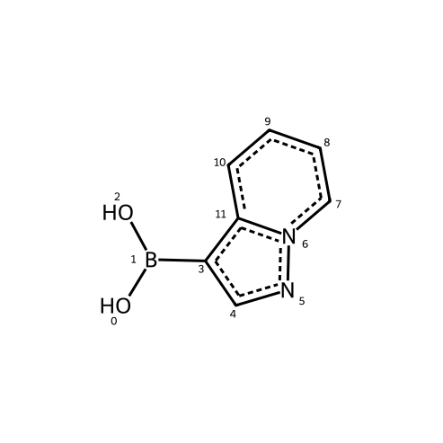 OB(O)c1cnn2ccccc12